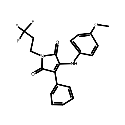 COc1ccc(NC2=C(c3ccccc3)C(=O)N(CCC(F)(F)F)C2=O)cc1